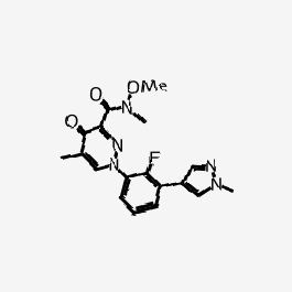 CON(C)C(=O)c1nn(-c2cccc(-c3cnn(C)c3)c2F)cc(C)c1=O